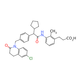 Cc1c(CCC(=O)O)cccc1NC(=O)C(c1ccc(CN2C(=O)CCc3cc(Cl)ccc32)cc1)C1CCCC1